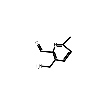 Cc1ccc(CN)c(C=O)n1